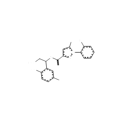 O=C(O)CC(NC(=O)c1cc(O)n(-c2ccccc2F)n1)c1cc(F)ccc1C(F)(F)F